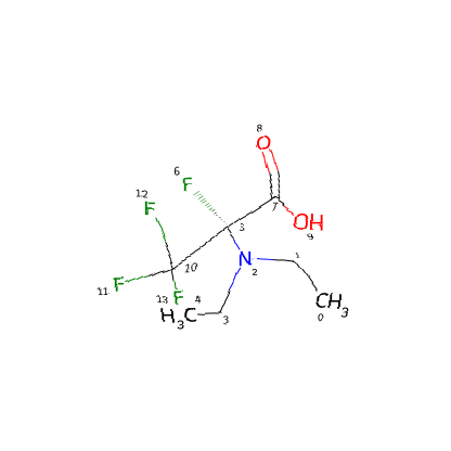 CCN(CC)[C@](F)(C(=O)O)C(F)(F)F